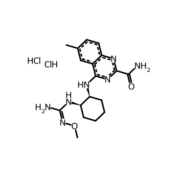 CO/N=C(/N)N[C@@H]1CCCC[C@@H]1Nc1nc(C(N)=O)nc2ccc(C)cc12.Cl.Cl